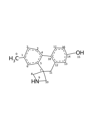 Cc1ccc2c(c1)C1(CNC1)Cc1cc(O)ccc1-2